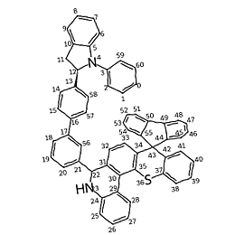 c1ccc(N2c3ccccc3C[C@@H]2c2ccc(-c3cccc(C4Nc5ccccc5-c5c4ccc4c5Sc5ccccc5C45c4ccccc4-c4ccccc45)c3)cc2)cc1